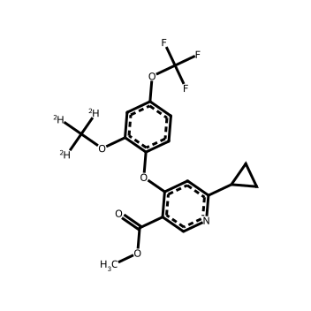 [2H]C([2H])([2H])Oc1cc(OC(F)(F)F)ccc1Oc1cc(C2CC2)ncc1C(=O)OC